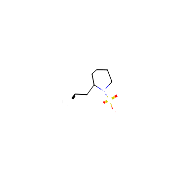 C=CCC1CCCCN1S(=O)(=O)O